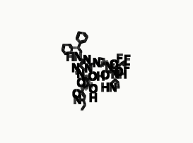 CCc1cc([C@H]2O[C@@H](n3cnc4c(NCC(c5ccccc5)c5ccccc5)nc(N5CC[C@@H](N(OC(=O)C(F)(F)F)C(=O)NC6CCNC6)C5)nc43)[C@@H](O)[C@@H]2O)on1